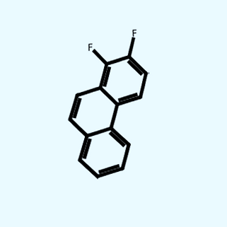 Fc1[c]cc2c(ccc3c[c]ccc32)c1F